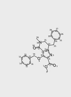 COC(=O)c1nn2c(c1OCc1ccccc1)C(=O)N(C)CC2Cc1ccccc1